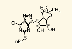 CCCSc1nc(Cl)c2nnn([C@H]3C4OC(C)(C)OC4[C@@H](O)[C@H]3O)c2n1